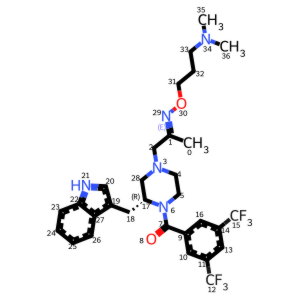 C/C(CN1CCN(C(=O)c2cc(C(F)(F)F)cc(C(F)(F)F)c2)[C@H](Cc2c[nH]c3ccccc23)C1)=N\OCCCN(C)C